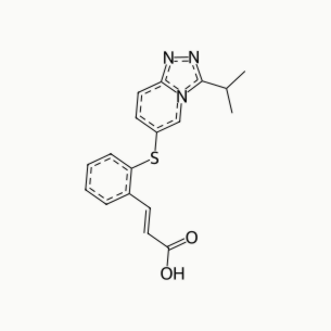 CC(C)c1nnc2ccc(Sc3ccccc3C=CC(=O)O)cn12